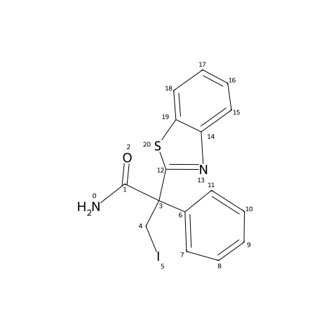 NC(=O)C(CI)(c1ccccc1)c1nc2ccccc2s1